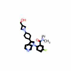 CC(C)N(C)C(=O)c1cc(F)ccc1-n1cc(C2CCC(N3CC(CO)C3)CC2)c2ccncc21